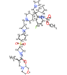 C=C(CN1CCOCC1)C(=O)N1CC(S(=O)(=O)c2ccc(N3CC(CN4CCC(C(CN5CCC5)(c5cccc(F)c5)[C@H]5CCC[C@@H]5NC(=O)OC)CC4)C3)cc2)C1